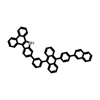 c1cc(-c2ccc3c(c2)[nH]c2c4ccccc4c4ccccc4c32)cc(-c2c3ccccc3c(-c3ccc(-c4ccc5ccccc5c4)cc3)c3ccccc23)c1